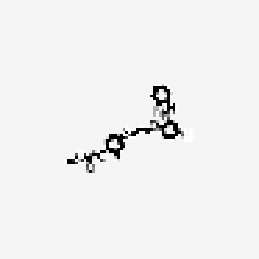 CCOC(=O)COc1ccc(SCCCOc2ccc(Cl)cc2-n2nc3ccccc3n2)cc1C